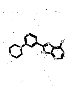 Clc1ncnc2[nH]c(-c3cccc(N4CCOCC4)c3)nc12